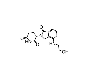 O=C1CCC(N2Cc3c(NCCO)cccc3C2=O)C(=O)N1